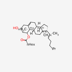 CCCCCCC(=O)OC1C[C@H](O)CC2=CC[C@H]3[C@@H]4CC[C@H]([C@H](C)CCCC(C)C)[C@@]4(C)CC[C@@H]3[C@]21C